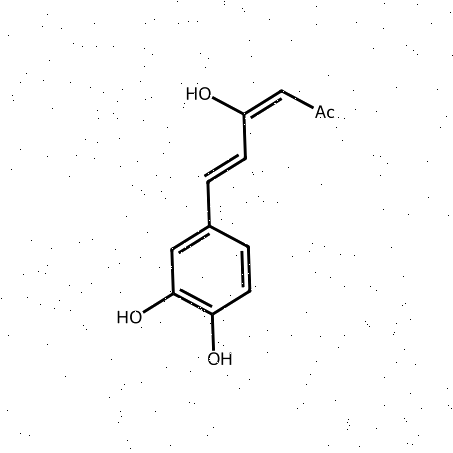 CC(=O)/C=C(O)\C=C\c1ccc(O)c(O)c1